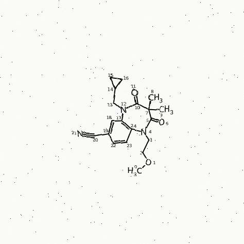 COCCN1C(=O)C(C)(C)C(=O)N(CC2CC2)c2cc(C#N)ccc21